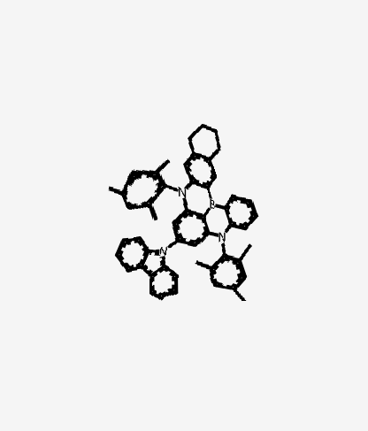 Cc1cc(C)c(N2c3ccccc3B3c4cc5c(cc4N(c4c(C)cc(C)cc4C)c4cc(-n6c7ccccc7c7ccccc76)cc2c43)CCCC5)c(C)c1